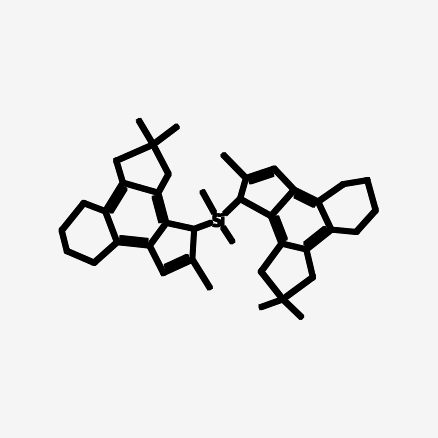 CC1=Cc2c3c(c4c(c2C1[Si](C)(C)C1C(C)=Cc2c5c(c6c(c21)CC(C)(C)C6)CCCC5)CC(C)(C)C4)CCCC3